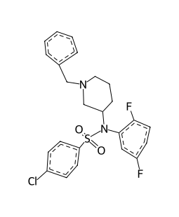 O=S(=O)(c1ccc(Cl)cc1)N(c1cc(F)ccc1F)C1CCCN(Cc2ccccc2)C1